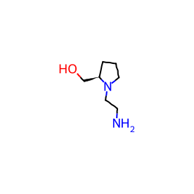 NCCN1CCC[C@@H]1CO